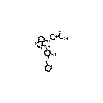 O=C(CO)N1CC[C@@H](Oc2cccc3ncnc(Nc4ccc(OCc5ccccn5)c(Cl)c4)c23)C1